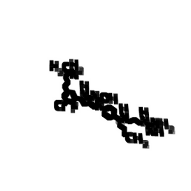 C=CCC[C@H](NCCCNC(=N)N)c1ccc(N2C=c3cc(-c4cc(CCC[C@H](C)N)cc(Cl)c4F)[nH]c3=NC2O)cc1